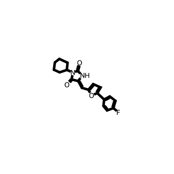 O=C1N/C(=C\c2ccc(-c3ccc(F)cc3)o2)C(=O)N1C1CCCCC1